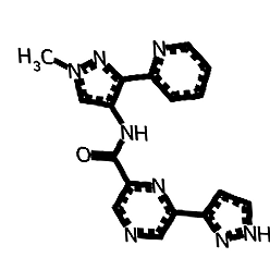 Cn1cc(NC(=O)c2cncc(-c3cc[nH]n3)n2)c(-c2ccccn2)n1